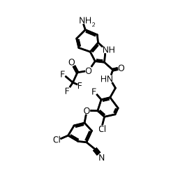 N#Cc1cc(Cl)cc(Oc2c(Cl)ccc(CNC(=O)c3[nH]c4cc(N)ccc4c3OC(=O)C(F)(F)F)c2F)c1